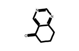 O=C1CCCc2ncncc21